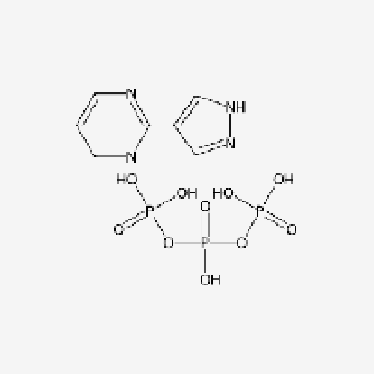 O=P(O)(O)OP(=O)(O)OP(=O)(O)O.c1cn[nH]c1.c1cncnc1